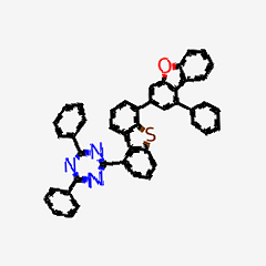 c1ccc(-c2nc(-c3ccccc3)nc(-c3cccc4sc5c(-c6cc(-c7ccccc7)c7c(c6)oc6ccccc67)cccc5c34)n2)cc1